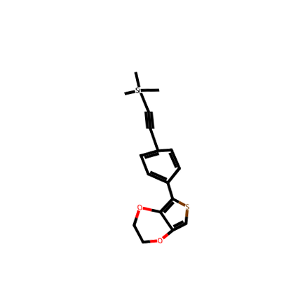 C[Si](C)(C)C#Cc1ccc(-c2scc3c2OCCO3)cc1